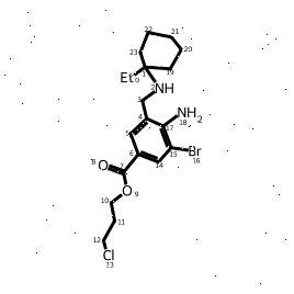 CCC1(NCc2cc(C(=O)OCCCCl)cc(Br)c2N)CCCCC1